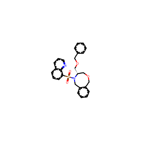 O=S(=O)(c1cccc2cccnc12)N1Cc2ccccc2COC[C@H]1COCc1ccccc1